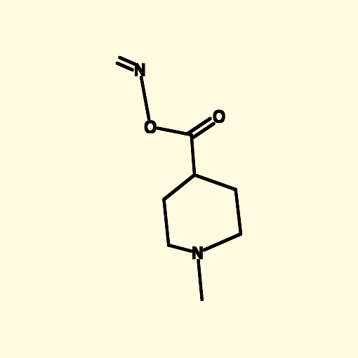 C=NOC(=O)C1CCN(C)CC1